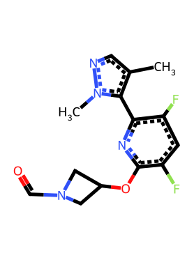 Cc1cnn(C)c1-c1nc(OC2CN(C=O)C2)c(F)cc1F